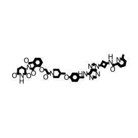 Cc1cccc(C(=O)NC2CC(n3cnc4c(NCc5ccc(OCC6CCN(C(=O)COc7cccc8c7C(=O)N([C@H]7CCC(=O)NC7=O)C8=O)CC6)cc5)ncnc43)C2)n1